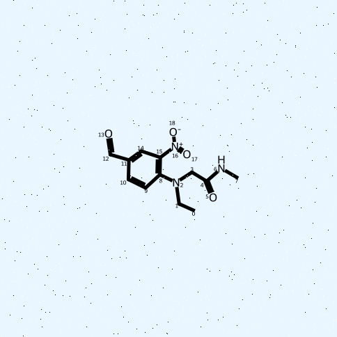 CCN(CC(=O)NC)c1ccc(C=O)cc1[N+](=O)[O-]